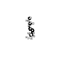 CC1CNc2c(oc3ccc4nc(Oc5cc(Cl)nc(NC6CCOC6)n5)ccc4c23)C(=O)N1